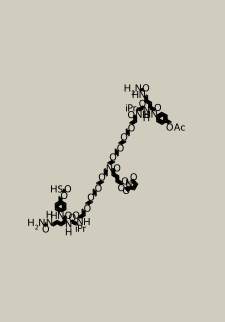 CC(=O)OCc1ccc(NC(=O)C(CCCNC(N)=O)NC(=O)C(NC(=O)CCOCCOCCOCCOCCN(CCOCCOCCOCCOCCC(=O)NC(C(=O)NC(CCCNC(N)=O)C(=O)Nc2ccc(COC(=O)S)cc2)C(C)C)C(=O)CCCC(=O)ON2C(=O)CCC2=O)C(C)C)cc1